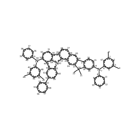 Cc1cc(C)cc(N(c2ccccc2)c2ccc3c(c2)C(C)(C)c2cc4c(ccc5c6ccc(N(c7ccccc7)c7cc(C)cc(C)c7)c7c8cc(-c9ccccc9)ccc8n(c45)c67)cc2-3)c1